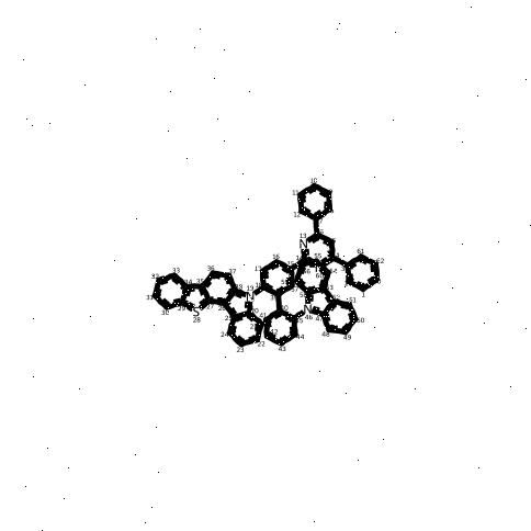 c1ccc(-c2cc(-c3ccccc3)nc(-c3ccc(-n4c5ccccc5c5c6sc7ccccc7c6ccc54)c(-c4ccccc4-n4c5ccccc5c5ccccc54)c3)n2)cc1